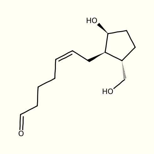 O=CCCC/C=C\C[C@@H]1[C@@H](CO)CC[C@@H]1O